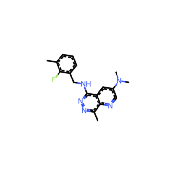 Cc1cccc(CNc2nnc(C)c3ncc(N(C)C)cc23)c1F